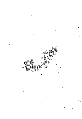 C[C@@H](COCCC(=O)N1CCN2c3ncc(C(F)(F)F)nc3SCC[C@H]2C1)Nc1cn[nH]c(=O)c1C(F)(F)F